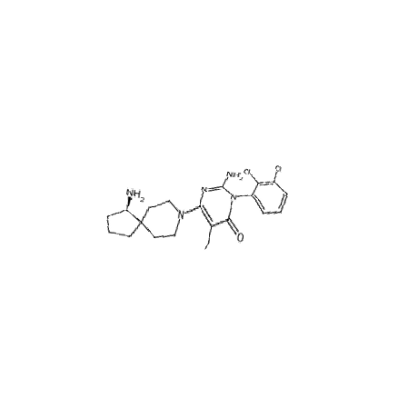 Cc1c(N2CCC3(CCC[C@H]3N)CC2)nc(N)n(-c2cccc(Cl)c2Cl)c1=O